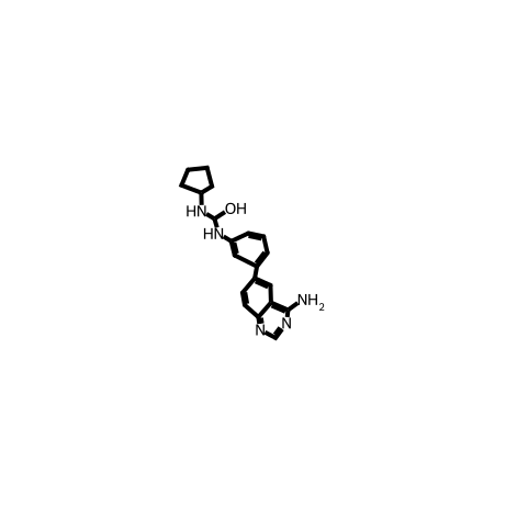 Nc1ncnc2ccc(-c3cccc(NC(O)NC4CCCC4)c3)cc12